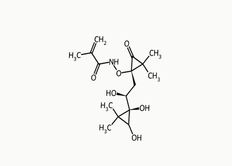 C=C(C)C(=O)NO[C@]1(C[C@H](O)[C@]2(O)C(O)C2(C)C)C(=O)C1(C)C